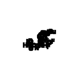 CC(C)(C)OC(=O)N1C[C@@H](c2cc(F)cc(F)c2)N(CC(=O)Nc2cnc3c(c2)CC2(C3)C(=O)Nc3ncccc32)C(=O)C12COCCOC2